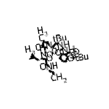 C=CCNC(=O)C(=O)[C@H](CC1CC1)NC(=O)[C@@H]1[C@@H](C)[C@@H](C)CN1C(=O)[C@@H](NC(=O)NC1(CS(=O)(=O)C(C)(C)C)CCCCC1)C(C)(C)C